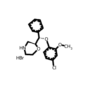 Br.COc1cc(Cl)ccc1O[C@@H](c1ccccc1)[C@@H]1CNCCO1